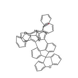 c1ccc(-c2nc(-c3ccccc3)nc(-c3cccc4c3-c3c(-c5nc(-c6ccccc6)nc6oc7ccccc7c56)cccc3C43c4ccccc4Oc4ccccc43)n2)cc1